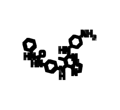 Cc1c(N[C@H]2CC[C@@H](N)CC2)nn2ccnc2c1Nc1ccc(NC(=O)Nc2ccccc2)cc1